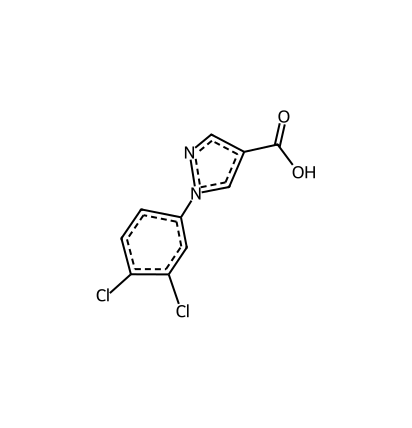 O=C(O)c1cnn(-c2ccc(Cl)c(Cl)c2)c1